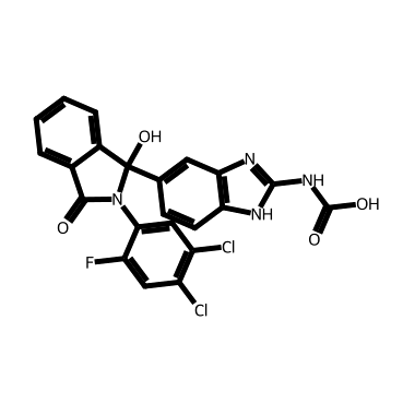 O=C(O)Nc1nc2cc(C3(O)c4ccccc4C(=O)N3c3cc(Cl)c(Cl)cc3F)ccc2[nH]1